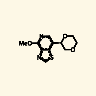 COc1ncc([C@@H]2COCCO2)c2scnc12